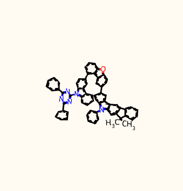 CC1(C)c2ccccc2-c2cc3c4cc(-c5ccc6oc7cccc(-c8ccc9c(c8)c8ccccc8n9-c8nc(-c9ccccc9)nc(-c9ccccc9)n8)c7c6c5)ccc4n(-c4ccccc4)c3cc21